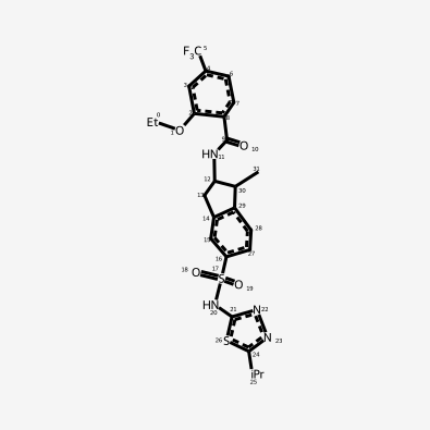 CCOc1cc(C(F)(F)F)ccc1C(=O)NC1Cc2cc(S(=O)(=O)Nc3nnc(C(C)C)s3)ccc2C1C